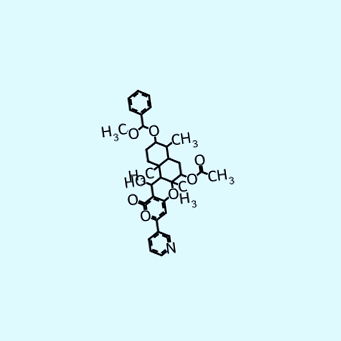 COC(OC1CCC2(C)C(CC(OC(C)=O)C3(C)Oc4cc(-c5cccnc5)oc(=O)c4C(O)C23)C1C)c1ccccc1